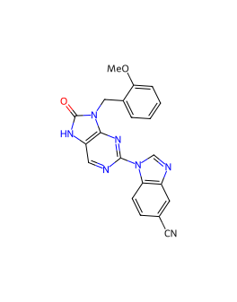 COc1ccccc1Cn1c(=O)[nH]c2cnc(-n3cnc4cc(C#N)ccc43)nc21